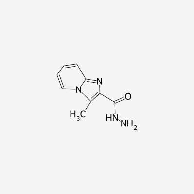 Cc1c(C(=O)NN)nc2ccccn12